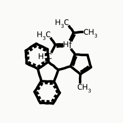 CC1=CC[C]([Hf](=[C](C)C)=[C](C)C)=C1C1c2ccccc2-c2ccccc21